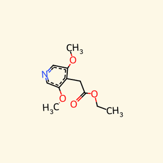 CCOC(=O)Cc1c(OC)cncc1OC